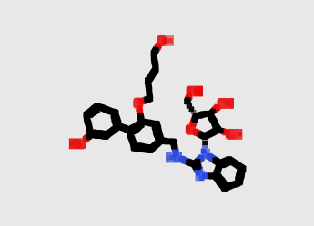 OCCCCOc1cc(CNc2nc3ccccc3n2[C@@H]2O[C@H](CO)[C@@H](O)[C@H]2O)ccc1-c1cccc(O)c1